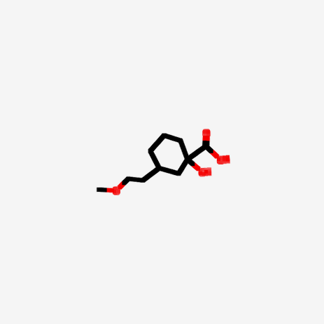 COCCC1CCCC(O)(C(=O)O)C1